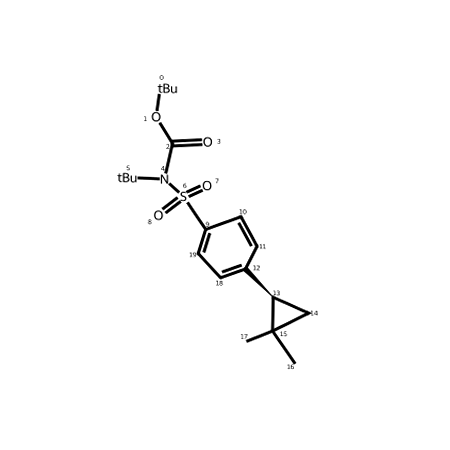 CC(C)(C)OC(=O)N(C(C)(C)C)S(=O)(=O)c1ccc([C@H]2CC2(C)C)cc1